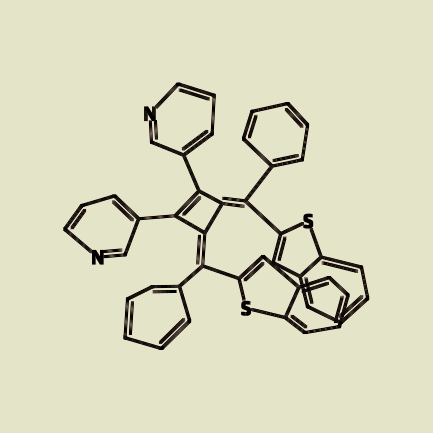 c1ccc(/C(=C2C(c3cccnc3)=C(c3cccnc3)C\2=C(/c2ccccc2)c2cc3ccccc3s2)c2cc3ccccc3s2)cc1